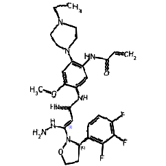 C=CC(=O)Nc1cc(NC(=N)/C=C(\NN)N2OCC[C@@H]2c2ccc(F)c(F)c2F)c(OC)cc1N1CCN(CC)CC1